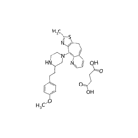 COc1ccc(CCC2CN(C3=c4ncccc4=CCc4sc(C)nc43)CCN2)cc1.O=C(O)CCC(=O)O